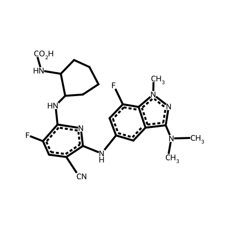 CN(C)c1nn(C)c2c(F)cc(Nc3nc(NC4CCCCC4NC(=O)O)c(F)cc3C#N)cc12